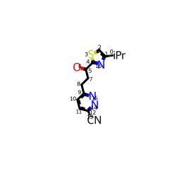 CC(C)c1csc(C(=O)CCc2ccc(C#N)nn2)n1